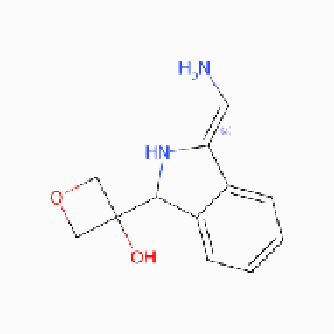 N/C=C1\NC(C2(O)COC2)c2ccccc21